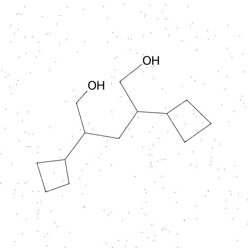 OCC(CC(CO)C1CCC1)C1CCC1